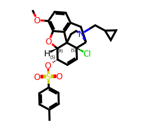 COc1ccc2c3c1O[C@H]1[C@@H](OS(=O)(=O)c4ccc(C)cc4)C=C[C@@]4(Cl)C(C2)N(CC2CC2)CCC314